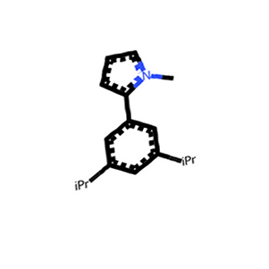 CC(C)c1cc(-c2cccn2C)cc(C(C)C)c1